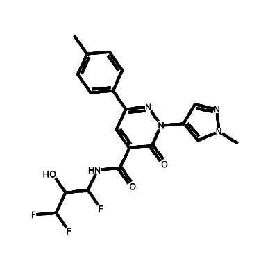 Cc1ccc(-c2cc(C(=O)NC(F)C(O)C(F)F)c(=O)n(-c3cnn(C)c3)n2)cc1